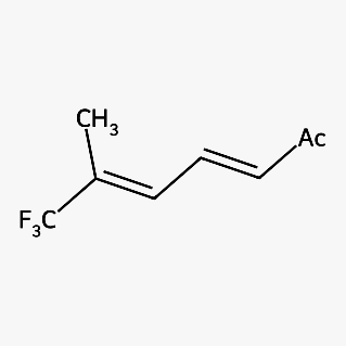 CC(=O)C=CC=C(C)C(F)(F)F